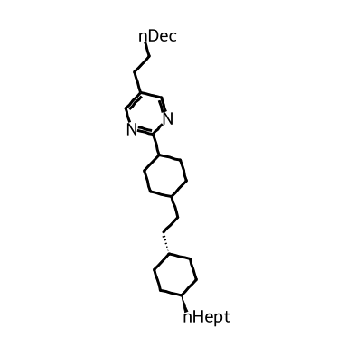 CCCCCCCCCCCCc1cnc(C2CCC(CC[C@H]3CC[C@H](CCCCCCC)CC3)CC2)nc1